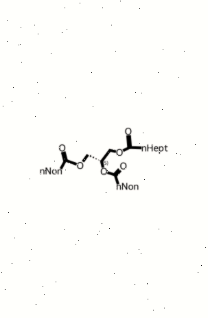 CCCCCCCCCC(=O)OC[C@H](COC(=O)CCCCCCC)OC(=O)CCCCCCCCC